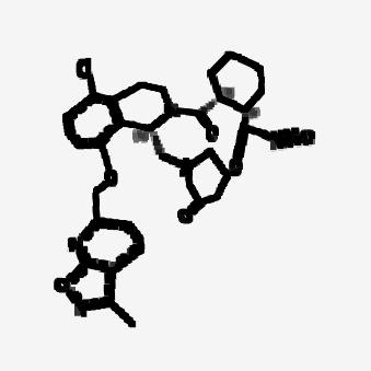 CNC(=O)[C@H]1CCCC[C@H]1C(=O)N1CCc2c(Cl)ccc(OCc3ccc4c(C)noc4n3)c2[C@H]1CN1CCCC1=O